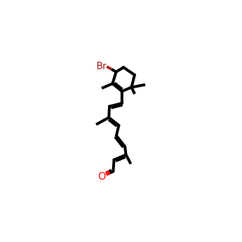 CC(C=CC=C(C)C=CC1=C(C)C(Br)CCC1(C)C)=CC=O